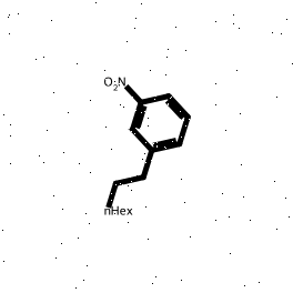 CCCCCCCCc1[c]c([N+](=O)[O-])ccc1